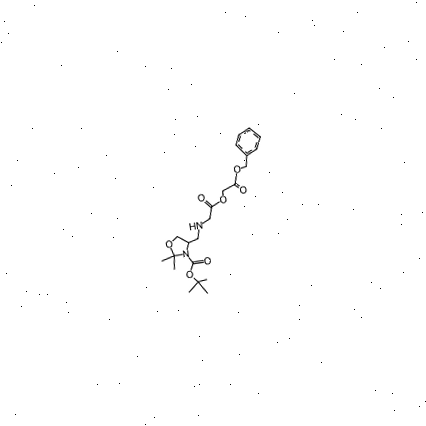 CC(C)(C)OC(=O)N1C(CNCC(=O)OCC(=O)OCc2ccccc2)COC1(C)C